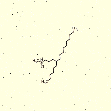 CCCCCCCCCCC(CCCCCC)CCC[SiH](C)Cl